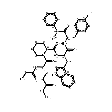 COC(=O)CC[C@H](NC(=O)CCl)C(=O)N1CCCC[C@H]1C(=O)N[C@@H](Cc1c[nH]c2ccccc12)C(=O)N[C@@H](Cc1ccc(F)cc1)C(=O)N(C)c1ccccc1